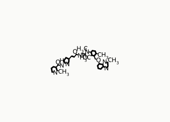 Cc1cnc2cccc(OCc3c(C)ccc(N(C)C(=O)CNC(=O)/C=C/c4ccc(NC(=O)c5cccnc5C)nc4)c3C)c2n1